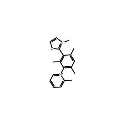 Cc1cc(C)c(-[n+]2ccccc2C)c(C)c1-c1occ[n+]1C